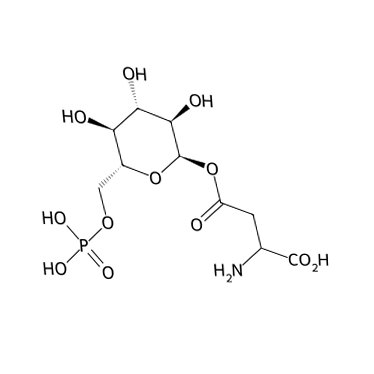 NC(CC(=O)O[C@H]1O[C@H](COP(=O)(O)O)[C@@H](O)[C@H](O)[C@H]1O)C(=O)O